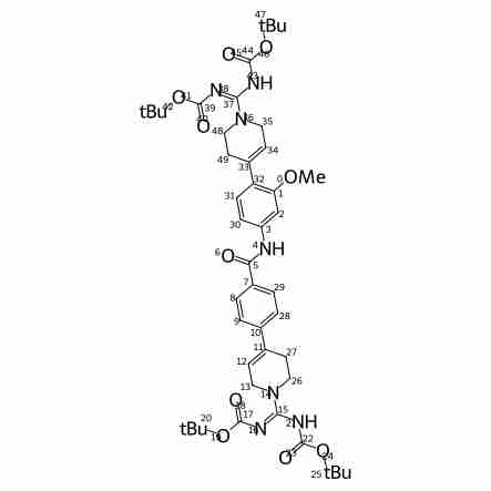 COc1cc(NC(=O)c2ccc(C3=CCN(/C(=N\C(=O)OC(C)(C)C)NC(=O)OC(C)(C)C)CC3)cc2)ccc1C1=CCN(/C(=N\C(=O)OC(C)(C)C)NC(=O)OC(C)(C)C)CC1